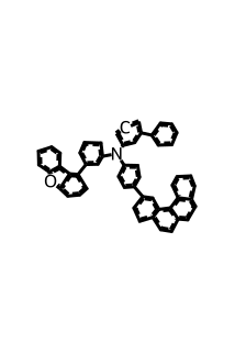 c1ccc(-c2cccc(N(c3ccc(-c4ccc5ccc6ccc7ccccc7c6c5c4)cc3)c3cccc(-c4cccc5oc6ccccc6c45)c3)c2)cc1